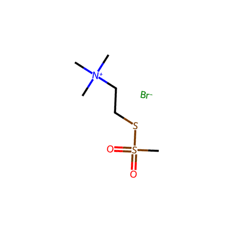 C[N+](C)(C)CCSS(C)(=O)=O.[Br-]